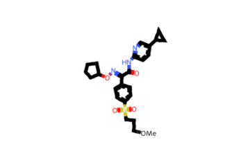 COCCCS(=O)(=O)c1ccc(/C(=N\OC2CCCC2)C(=O)Nc2ccc(C3CC3)cn2)cc1